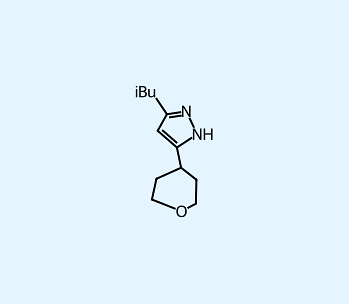 CCC(C)c1cc(C2CCOCC2)[nH]n1